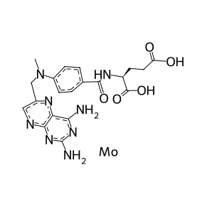 CN(Cc1cnc2nc(N)nc(N)c2n1)c1ccc(C(=O)N[C@@H](CCC(=O)O)C(=O)O)cc1.[Mo]